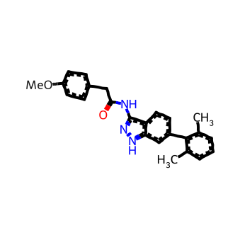 COc1ccc(CC(=O)Nc2n[nH]c3cc(-c4c(C)cccc4C)ccc23)cc1